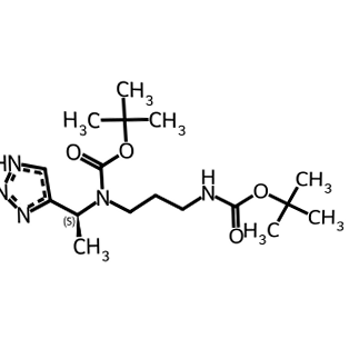 C[C@@H](c1c[nH]nn1)N(CCCNC(=O)OC(C)(C)C)C(=O)OC(C)(C)C